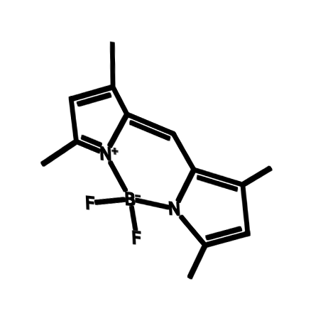 CC1=CC(C)=[N+]2C1=Cc1c(C)cc(C)n1[B-]2(F)F